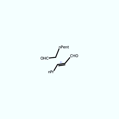 CCC/C=C/C=O.CCCCCCC=O